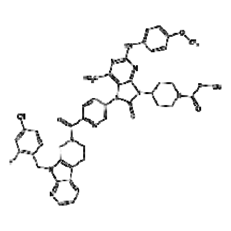 CC(C)(C)OC(=O)N1CCC(n2c(=O)n(-c3ccc(C(=O)N4CCc5c(n(Cc6ccc(C#N)cc6F)c6ncccc56)C4)nc3)c3c(C(=O)O)nc(Nc4ccc(OC(F)(F)F)cc4)nc32)CC1